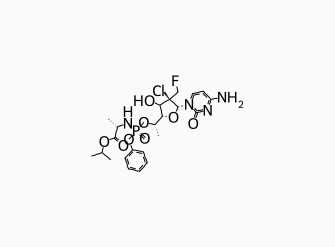 CC(C)OC(=O)[C@H](C)N[P@](=O)(Oc1ccccc1)O[C@@H](C)[C@H]1O[C@@H](n2ccc(N)nc2=O)[C@@](Cl)(CF)C1O